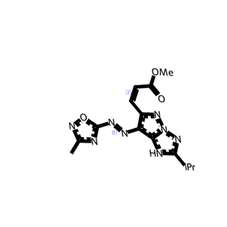 COC(=O)/C=C\c1nn2nc(C(C)C)[nH]c2c1/N=N/c1nc(C)no1